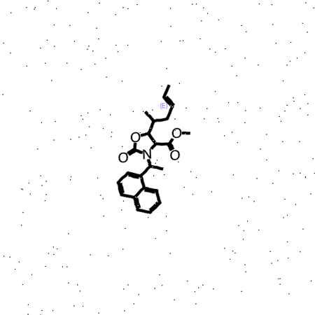 C/C=C/CC(C)C1OC(=O)N(C(C)c2cccc3ccccc23)C1C(=O)OC